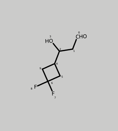 O=CCC(O)C1CC(F)(F)C1